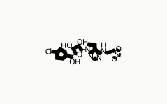 CS(=O)(=O)CCNc1ncnc2c1ccn2[C@@H]1O[C@H](C(O)c2ccc(Cl)cc2)[C@@H](O)[C@H]1O